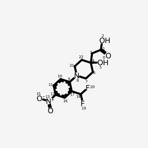 O=C(O)CC1(O)CCN(c2ccc([N+](=O)[O-])cc2C(F)F)CC1